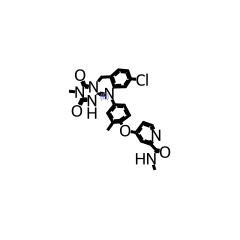 CNC(=O)c1cc(Oc2ccc(/N=c3\[nH]c(=O)n(C)c(=O)n3Cc3ccc(Cl)cc3)cc2C)ccn1